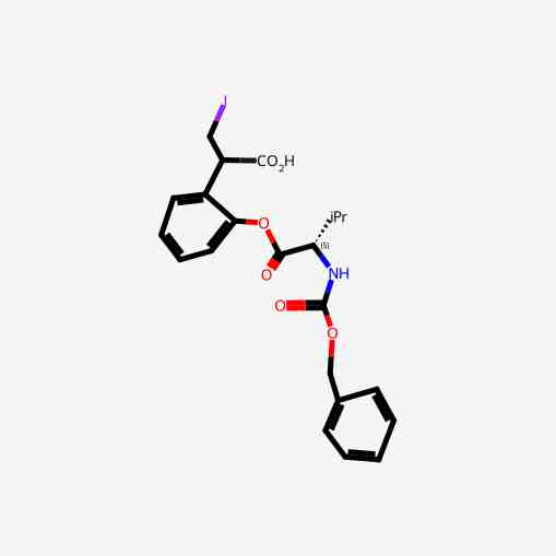 CC(C)[C@H](NC(=O)OCc1ccccc1)C(=O)Oc1ccccc1C(CI)C(=O)O